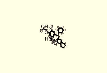 CCCCC1(CCCC)CN(c2ccccc2)c2cc(SC)c(OCC(=O)O)cc2S(O)(O)N1